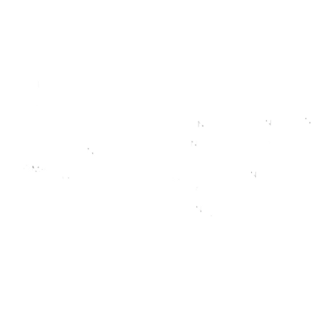 COc1ccc(F)cc1C(=O)NCc1ccc(-n2ncc3c(-c4ccncn4)ncc(C(N)=O)c32)cc1